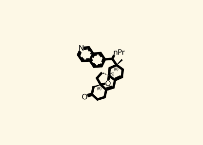 CCCC(c1ccc2ccncc2c1)[C@]1(C)CC=C2C=C3CCC(=O)C[C@]34CC[C@@]2(C1)O4